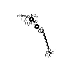 C=C(Cl)C(=O)OCCCCCCCCCC[C@H]1CO[C@H](c2ccc(OC(=O)c3cc([N+](=O)[O-])c(O[C@H](C)CCCCCC)cc3N)cc2)OC1